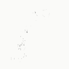 CCOC(=O)[N-]c1c[n+](N2CCN(CCCCC(=O)c3ccccc3)CC2)no1